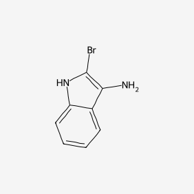 Nc1c(Br)[nH]c2ccccc12